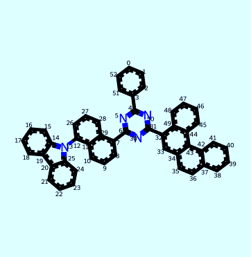 c1ccc(-c2nc(-c3cccc4c(-n5c6ccccc6c6ccccc65)cccc34)nc(-c3cc4ccc5ccccc5c4c4ccccc34)n2)cc1